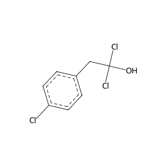 OC(Cl)(Cl)Cc1ccc(Cl)cc1